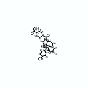 O=C(O)C1CCC(C(=O)N2CCC3(S(=O)(=O)c4ccc(Cl)cc4)c4ccc(I)cc4CCC23)CC1